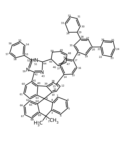 CC1(C)c2ccccc2C2(c3ccc(-c4ccc(-c5cc(-c6ccccc6)cc(C6C=CC=CC6)c5)cc4)cc3-c3c(C4=NC(C5C=CC=CC5)NC(c5ccccc5)=N4)cccc32)c2ccccc21